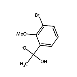 COc1c(Br)cccc1C(C)([O])O